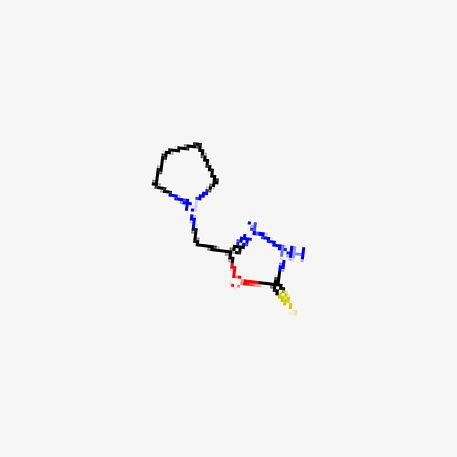 S=c1[nH]nc(CN2CCCC2)o1